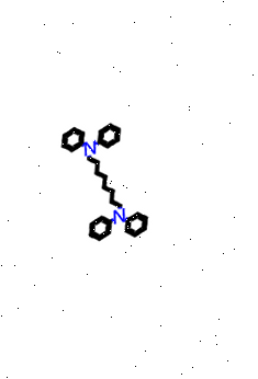 c1ccc(N(CCCCCCCCN(c2ccccc2)c2ccccc2)c2ccccc2)cc1